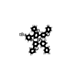 CC(C)(C)c1ccc2c(c1)c1c3c(oc4ccccc43)c3c4c1n2-c1cc2c(cc1B4N(c1ccc(-c4ccccc4)cc1)c1cc4oc5ccccc5c4cc1-3)oc1ccccc12